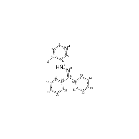 Cc1ccncc1NN=C(c1ccccc1)c1ccccc1